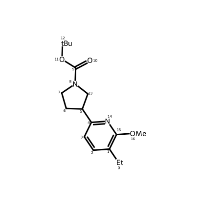 CCc1ccc(C2CCN(C(=O)OC(C)(C)C)C2)nc1OC